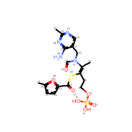 C/C(=C(\CCOP(=O)(O)O)SC(=O)c1ccc(C)o1)N(C=O)Cc1cnc(C)nc1N